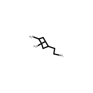 NCCC1CC2(N)C(N)CC12